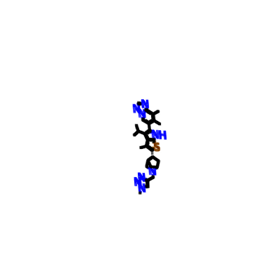 Cc1c(-c2[nH]c3sc([C@@H]4CC5CC4CN5Cc4cn(C)nn4)c(C)c3c2C(C)C)cn2ncnc2c1C